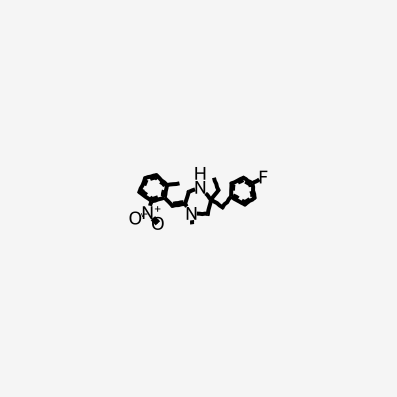 CCC1(Cc2ccc(F)cc2)CN(C)C(=Cc2c(C)cccc2[N+](=O)[O-])CN1